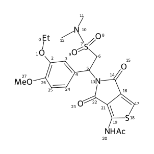 CCOc1cc(C(CS(=O)(=O)N(C)C)N2C(=O)c3csc(NC(C)=O)c3C2=O)ccc1OC